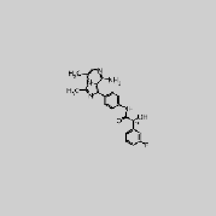 Cc1cnc(N)c2c(-c3ccc(NC(=O)[C@@H](O)c4cccc(F)c4)cc3)nc(C)n12